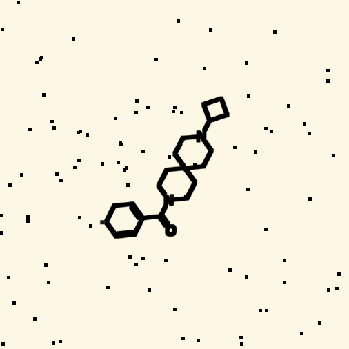 O=C(C1=CC[CH]C=C1)N1CCC2(CC1)CCN(C1CCC1)CC2